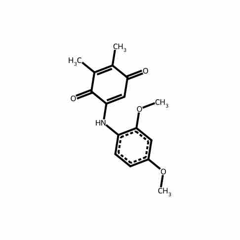 COc1ccc(NC2=CC(=O)C(C)=C(C)C2=O)c(OC)c1